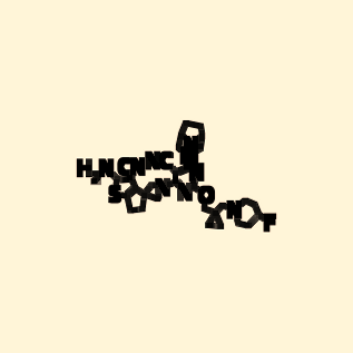 N#Cc1c(N2CC3CCC(C2)N3)nc(OCC2(CN3CCC(F)CC3)CC2)nc1N1CC2(CCc3sc(N)c(C#N)c32)C1